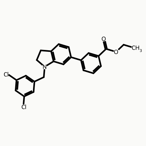 CCOC(=O)c1cccc(-c2ccc3c(c2)N(Cc2cc(Cl)cc(Cl)c2)CC3)c1